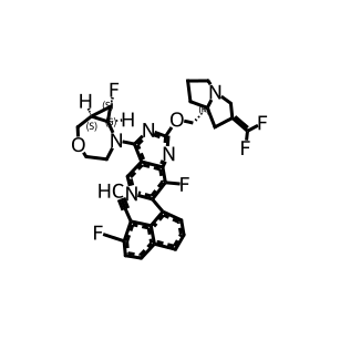 C#Cc1c(F)ccc2cccc(-c3ncc4c(N5CCOC[C@H]6[C@H](F)[C@H]65)nc(OC[C@]56CCCN5CC(=C(F)F)C6)nc4c3F)c12